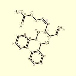 C=C[C@H](OCc1ccccc1)[C@@H](/C=C\COC(C)=O)OCc1ccccc1